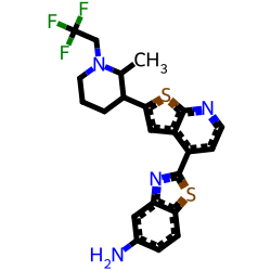 CC1C(c2cc3c(-c4nc5cc(N)ccc5s4)ccnc3s2)CCCN1CC(F)(F)F